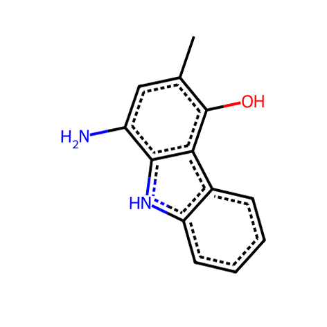 Cc1cc(N)c2[nH]c3ccccc3c2c1O